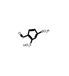 O=Ic1ccc(S(=O)(=O)O)cc1S(=O)(=O)O